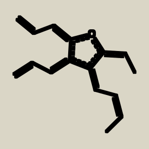 C=CC=c1c(=C/C=C\C)/c(=C\C)o/c1=C/C=C